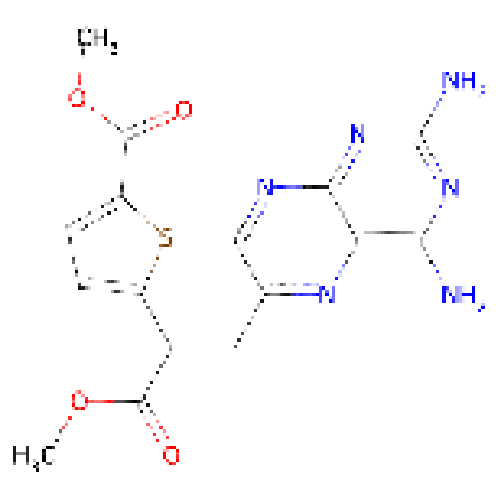 COC(=O)c1ccc(C(Cc2cnc3nc(N)nc(N)c3n2)C(=O)OC)s1